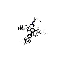 Cc1nc2c(-c3ccc(S(C)(=O)=O)cc3)cc(C(=O)N(C)C)cc2n1C/C(F)=C/CN.Cl